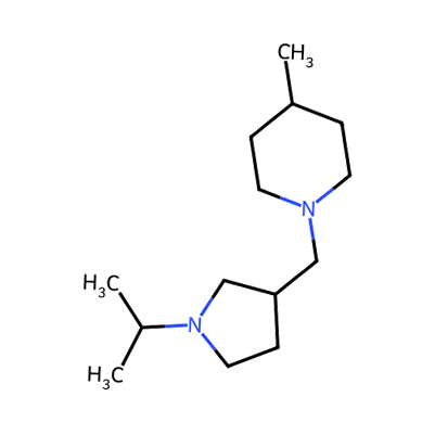 CC1CCN(CC2CCN(C(C)C)C2)CC1